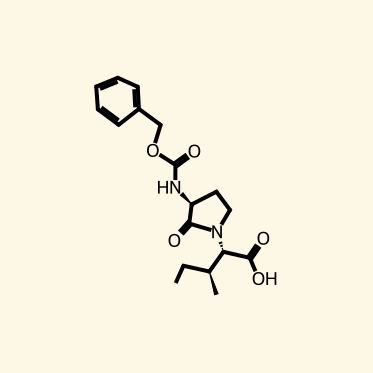 CC[C@H](C)[C@@H](C(=O)O)N1CC[C@H](NC(=O)OCc2ccccc2)C1=O